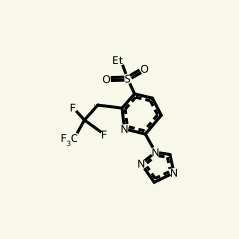 CCS(=O)(=O)c1ccc(-n2cncn2)nc1[CH]C(F)(F)C(F)(F)F